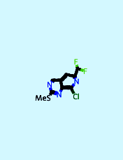 CSc1ncc2cc(C(F)F)nc(Cl)c2n1